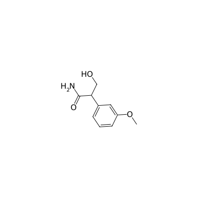 COc1cccc(C(CO)C(N)=O)c1